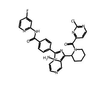 N[N+]12C=CN=CC1=C(C1CCCCN1C(=O)c1ccnc(Cl)n1)N=C2c1ccc(C(=O)Nc2cc(F)ccn2)cc1